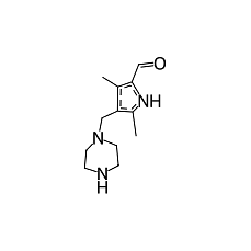 Cc1[nH]c(C=O)c(C)c1CN1CCNCC1